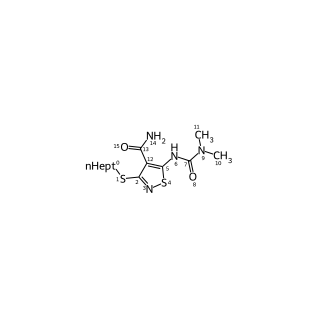 CCCCCCCSc1nsc(NC(=O)N(C)C)c1C(N)=O